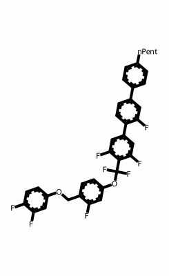 CCCCCc1ccc(-c2ccc(-c3cc(F)c(C(F)(F)Oc4ccc(COc5ccc(F)c(F)c5)c(F)c4)c(F)c3)c(F)c2)cc1